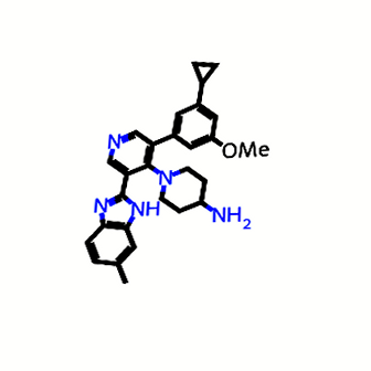 COc1cc(-c2cncc(-c3nc4ccc(C)cc4[nH]3)c2N2CCC(N)CC2)cc(C2CC2)c1